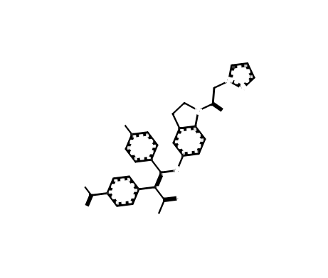 CC(=O)/C(=C(\Nc1ccc2c(c1)CCN2C(=O)Cn1cccn1)c1ccc(F)cc1)c1ccc(C(=O)O)cc1